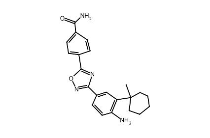 CC1(c2cc(-c3noc(-c4ccc(C(N)=O)cc4)n3)ccc2N)CCCCC1